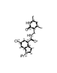 Cc1cc(C)c(CNC(=O)c2cc(Cl)cc3c2ccn3C(C)C)c(=O)[nH]1